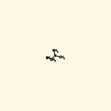 B.CN(C)N